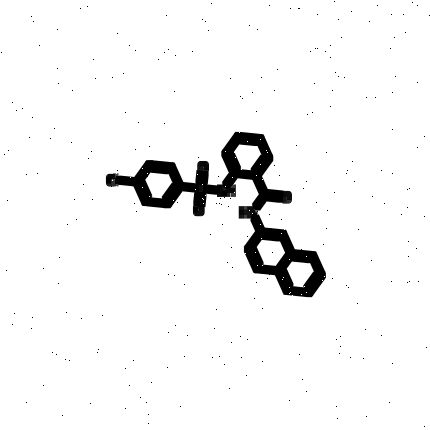 O=C(Nc1ccc2ccccc2c1)c1ccccc1NS(=O)(=O)c1ccc(Cl)cc1